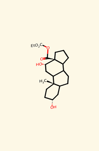 CCOC(=O)OC(=O)[C@@]12CCCC1C1CCC3C[C@H](O)CC[C@]3(C)C1C[C@@H]2O